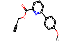 C#CCOC(=O)c1cccc(-c2ccc(OCC)cc2)n1